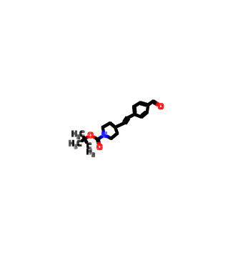 CC(C)(C)OC(=O)N1CCC(C#Cc2ccc(C=O)cc2)CC1